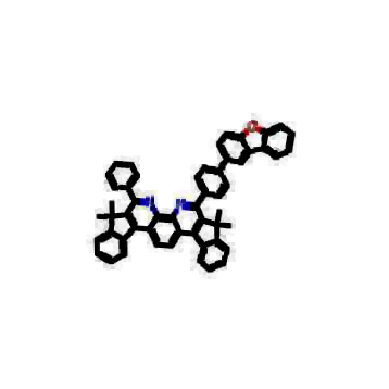 CC1(C)c2ccccc2-c2c1c(-c1ccccc1)nc1c2ccc2c3c(c(-c4ccc(-c5ccc6oc7ccccc7c6c5)cc4)nc21)C(C)(C)c1ccccc1-3